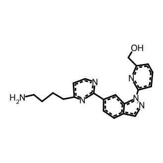 NCCCCc1ccnc(-c2ccc3cnn(-c4cccc(CO)n4)c3c2)n1